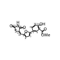 COC(=O)c1cc(-c2ccc(C=C3SC(=O)NC3=O)o2)ccc1O